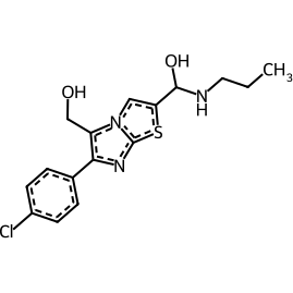 CCCNC(O)c1cn2c(CO)c(-c3ccc(Cl)cc3)nc2s1